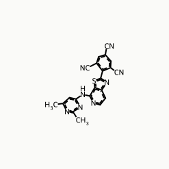 Cc1cc(Nc2nccc3nc(-c4c(C#N)cc(C#N)cc4C#N)sc23)nc(C)n1